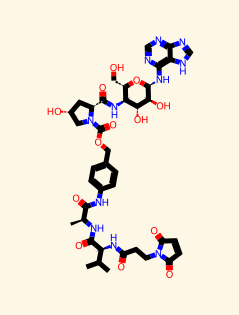 CC(C)[C@H](NC(=O)CCN1C(=O)C=CC1=O)C(=O)N[C@@H](C)C(=O)Nc1ccc(COC(=O)N2C[C@H](O)C[C@@H]2C(=O)N[C@@H]2[C@@H](O)[C@H](O)[C@@H](Nc3ncnc4nc[nH]c34)O[C@H]2CO)cc1